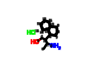 CC(N)C(CO)c1cccc2ccccc12.Cl